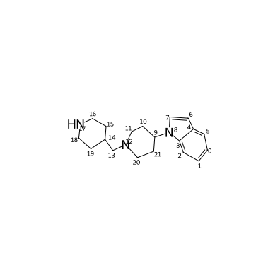 c1ccc2c(c1)ccn2C1CCN(CC2CCNCC2)CC1